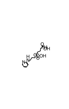 O=[PH](O)CCCP(=O)(O)OCCCNc1ccccn1